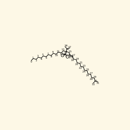 CCCCCCCCCCCCCCC(CCCCCCCCCCCCCCCC(C)C)(C(=O)O)C(C)C